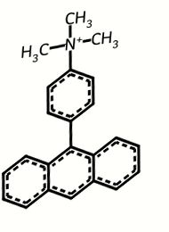 C[N+](C)(C)c1ccc(-c2c3ccccc3cc3ccccc23)cc1